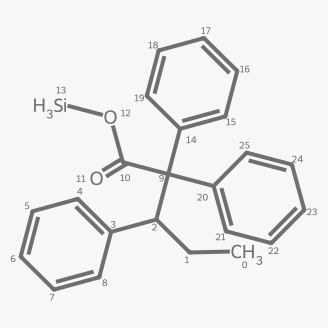 CCC(c1ccccc1)C(C(=O)O[SiH3])(c1ccccc1)c1ccccc1